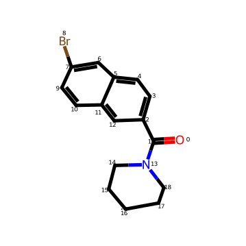 O=C(c1ccc2cc(Br)ccc2c1)N1CC[CH]CC1